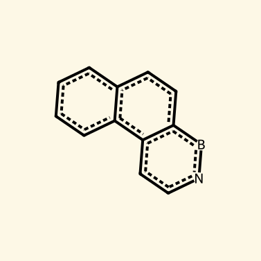 b1nccc2c1ccc1ccccc12